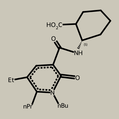 CCCCn1c(CCC)c(CC)cc(C(=O)N[C@H]2CCCCC2C(=O)O)c1=O